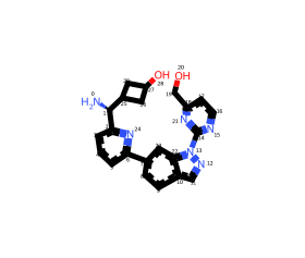 N[C@H](c1cccc(-c2ccc3cnn(-c4nccc(CO)n4)c3c2)n1)C1CC(O)C1